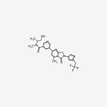 Cc1cc(-c2cncc(C(=O)N(C)C(C)CO)c2)nc2c1C(=O)N(c1cnn(CC(F)(F)F)c1)C2